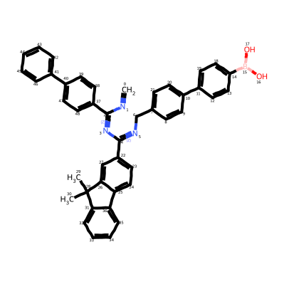 C=N/C(=N\C(=N/Cc1ccc(-c2ccc(B(O)O)cc2)cc1)c1ccc2c(c1)C(C)(C)c1ccccc1-2)c1ccc(-c2ccccc2)cc1